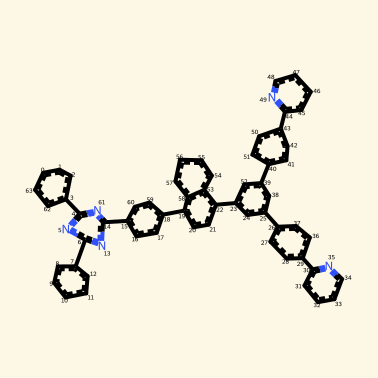 c1ccc(-c2nc(-c3ccccc3)nc(-c3ccc(-c4ccc(-c5cc(-c6ccc(-c7ccccn7)cc6)cc(-c6ccc(-c7ccccn7)cc6)c5)c5ccccc45)cc3)n2)cc1